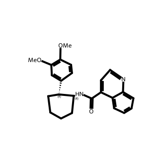 COc1ccc([C@H]2CCCC[C@H]2NC(=O)c2ccnc3ccccc23)cc1OC